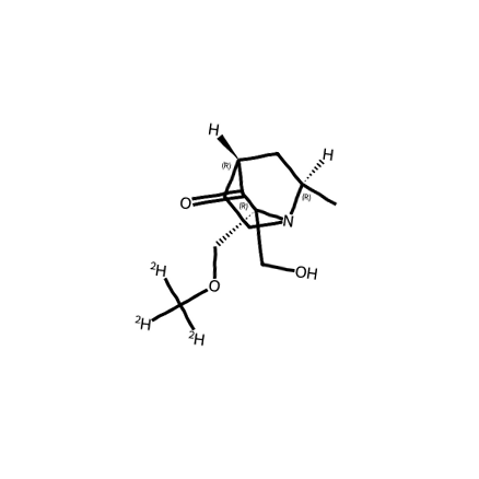 [2H]C([2H])([2H])OC[C@]1(CO)C(=O)[C@@H]2CCN1[C@H](C)C2